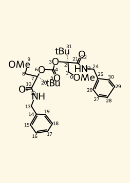 COC[C@@](OC(=O)O[C@](COC)(C(=O)NCc1ccccc1)C(C)(C)C)(C(=O)NCc1ccccc1)C(C)(C)C